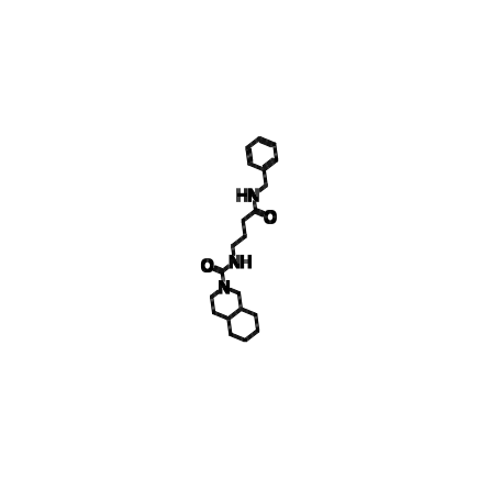 O=C(CCCNC(=O)N1CCC2CCCCC2C1)NCc1ccccc1